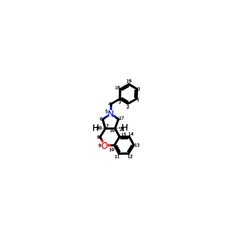 c1ccc(CN2C[C@@H]3COc4ccccc4[C@@H]3C2)cc1